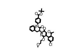 COCCOc1nn(C(Cc2ccccc2)C(=O)Nc2ccc(C(=O)OC(C)(C)C)cc2)c(=O)cc1-c1cc(Cl)ccc1C(C)=O